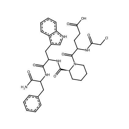 NC(=O)C(Cc1ccccc1)NC(=O)C(Cc1c[nH]c2ccccc12)NC(=O)[C@@H]1CCCCN1C(=O)C(CCC(=O)O)NC(=O)CCl